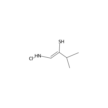 CC(C)/C(S)=C/NCl